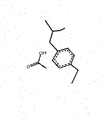 CC(=O)O.CCc1ccc(CC(C)C)cc1